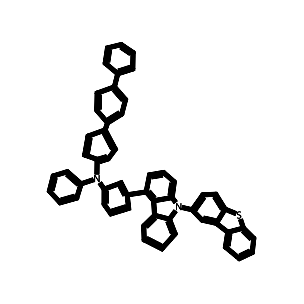 c1ccc(-c2ccc(-c3ccc(N(c4ccccc4)c4cccc(-c5cccc6c5c5ccccc5n6-c5ccc6sc7ccccc7c6c5)c4)cc3)cc2)cc1